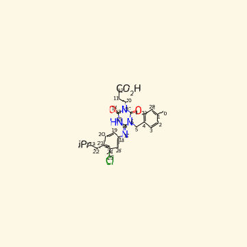 Cc1ccc(Cn2c(=O)n(CCC(=O)O)c(=O)[nH]/c2=N\c2ccc(CC(C)C)c(Cl)c2)cc1